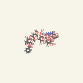 CCC1O[C@@H](O[C@H]2C(C)C(C)[C@@H](O[C@H]3C(C)C(OC)[C@H](O[C@H]4C5CO[C@H](O5)C(N=[N+]=[N-])[C@@H]4OC)O[C@H]3COC)O[C@H]2COC)C(OC)[C@@H](C)[C@@H]1O[C@@H]1OC2COC(c3ccccc3)O[C@H]2[C@H](C)C1C